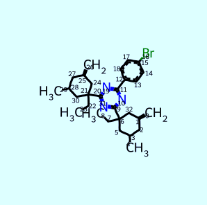 C=C1CC(C)CC(CC)(c2nc(-c3ccc(Br)cc3)nc(C3(CC)CC(=C)CC(C)C3)n2)C1